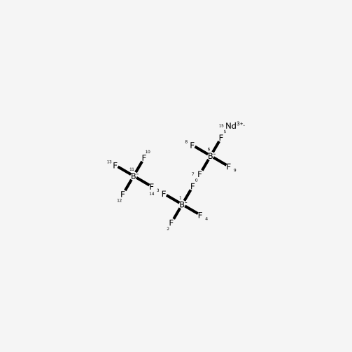 F[B-](F)(F)F.F[B-](F)(F)F.F[B-](F)(F)F.[Nd+3]